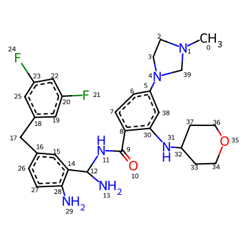 CN1CCN(c2ccc(C(=O)NC(N)c3cc(Cc4cc(F)cc(F)c4)ccc3N)c(NC3CCOCC3)c2)C1